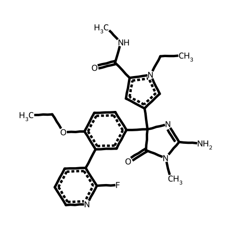 CCOc1ccc(C2(c3cc(C(=O)NC)n(CC)c3)N=C(N)N(C)C2=O)cc1-c1cccnc1F